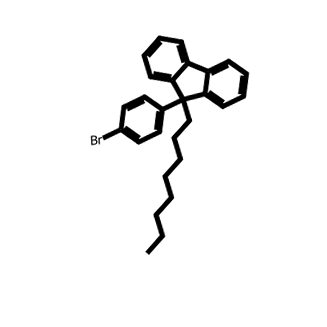 CCCCCCCCC1(c2ccc(Br)cc2)c2ccccc2-c2ccccc21